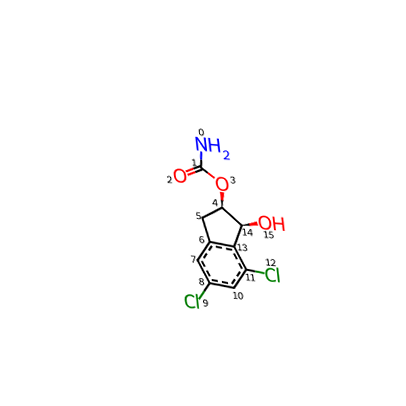 NC(=O)O[C@@H]1Cc2cc(Cl)cc(Cl)c2[C@@H]1O